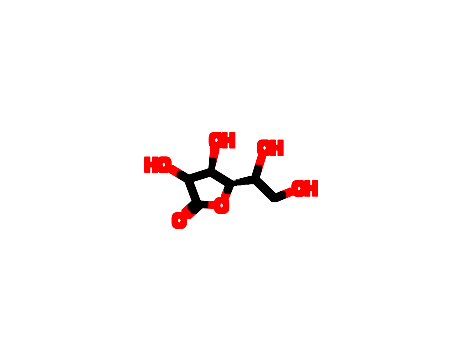 O=C1O[C@@H](C(O)CO)[C@H](O)C1O